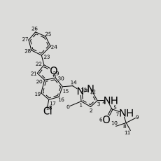 Cc1cc(NC(=O)NC(C)(C)C)nn1Cc1cc(Cl)cc2cc(-c3ccccc3)oc12